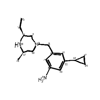 CC[C@H]1CN(Cc2cc(N)cc(C3CC3)c2)C[C@@H](C)N1